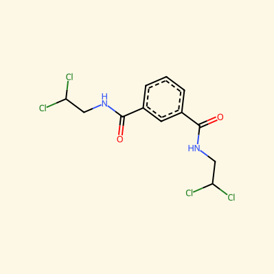 O=C(NCC(Cl)Cl)c1cccc(C(=O)NCC(Cl)Cl)c1